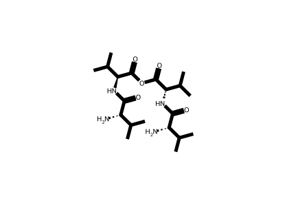 CC(C)[C@H](N)C(=O)N[C@H](C(=O)OC(=O)[C@@H](NC(=O)[C@@H](N)C(C)C)C(C)C)C(C)C